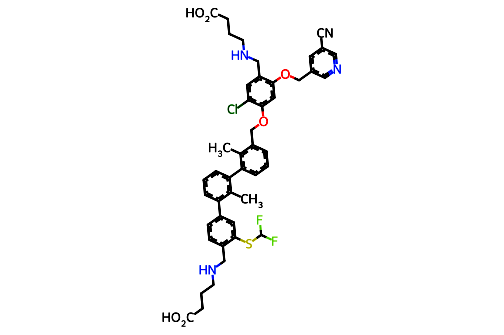 Cc1c(COc2cc(OCc3cncc(C#N)c3)c(CNCCCC(=O)O)cc2Cl)cccc1-c1cccc(-c2ccc(CNCCCC(=O)O)c(SC(F)F)c2)c1C